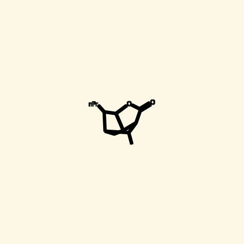 CCCC1C2CC3C1OC(=O)C3C2C